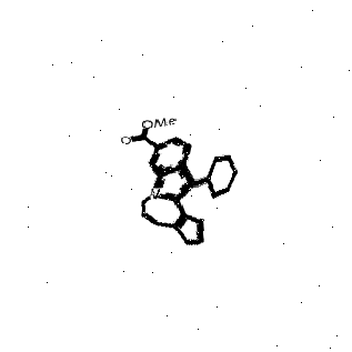 COC(=O)c1ccc2c(C3CCCCC3)c3n(c2c1)CC=CC1=C3C=CC1